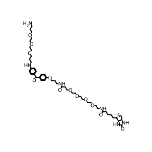 NCCCOCCOCCOCCCNc1ccc(C(=O)c2ccc(OCCCNC(=O)CCOCCOCCOCCOCCNC(=O)CCCCC3SCC4NC(=O)NC43)cc2)cc1